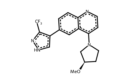 CO[C@@H]1CCN(c2ccnc3ccc(-c4c[nH]nc4C(F)(F)F)cc23)C1